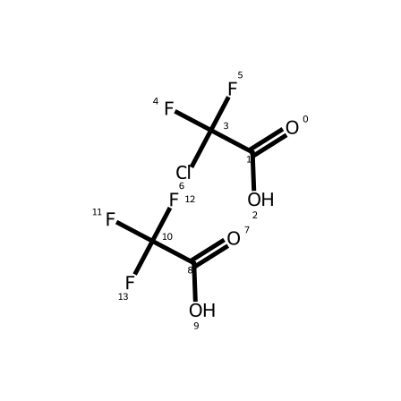 O=C(O)C(F)(F)Cl.O=C(O)C(F)(F)F